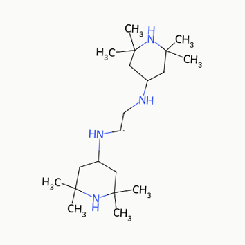 CC1(C)CC(N[CH]CNC2CC(C)(C)NC(C)(C)C2)CC(C)(C)N1